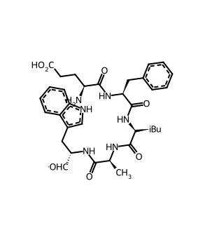 CC[C@H](C)[C@H](NC(=O)[C@H](Cc1ccccc1)NC(=O)[C@@H](N)CCC(=O)O)C(=O)N[C@@H](C)C(=O)N[C@H]([C]=O)Cc1c[nH]c2ccccc12